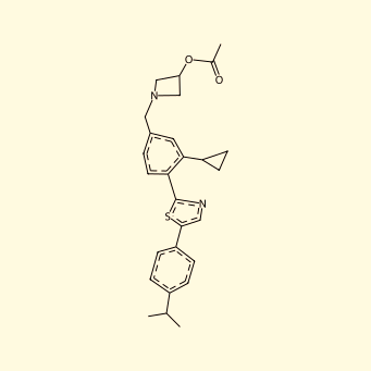 CC(=O)OC1CN(Cc2ccc(-c3ncc(-c4ccc(C(C)C)cc4)s3)c(C3CC3)c2)C1